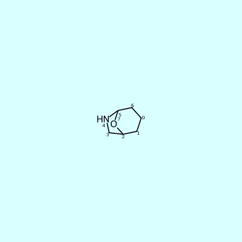 C1CC2CNC(C1)O2